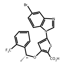 C[C@@H](Oc1cc(-n2cnc3cc(Br)ccc32)sc1C(=O)O)c1ccccc1C(F)(F)F